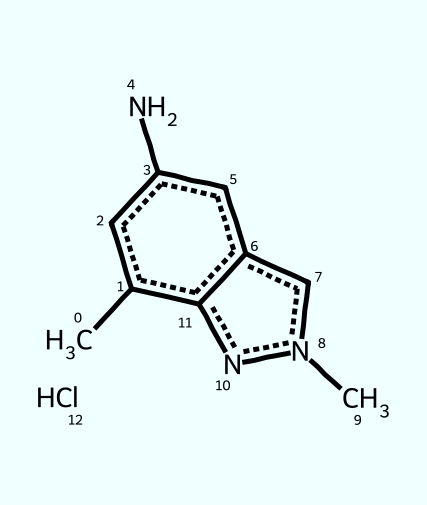 Cc1cc(N)cc2cn(C)nc12.Cl